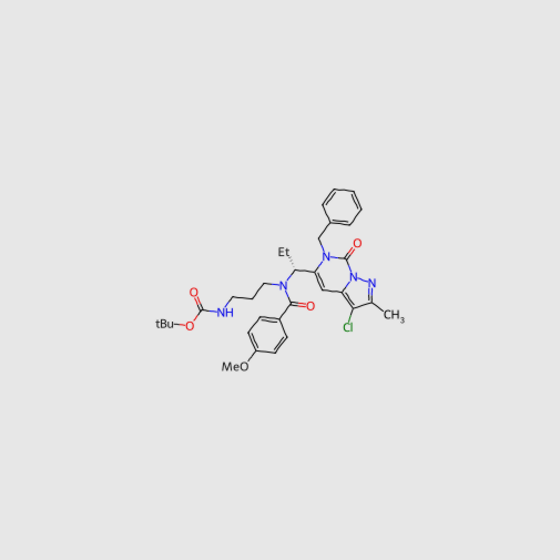 CC[C@H](c1cc2c(Cl)c(C)nn2c(=O)n1Cc1ccccc1)N(CCCNC(=O)OC(C)(C)C)C(=O)c1ccc(OC)cc1